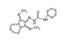 CN=c1c(=NNC(=O)Nc2ccccc2)c(=NC)c2ccccc12